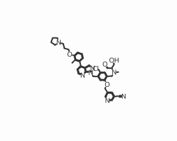 Cc1c(OCCCN2CCCC2)cccc1-c1ccnc2c1cnn2Cc1cc(OCc2cncc(C#N)c2)c(CN(C)C(C=O)CO)cc1Cl